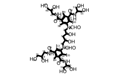 O=CN(CC(O)CC(O)CN(C=O)c1c(I)c(C(=O)NCC(O)CO)c(I)c(C(=O)NC(CO)CO)c1I)c1c(I)c(C(=O)NCC(O)CO)c(I)c(C(=O)NC(CO)CO)c1I